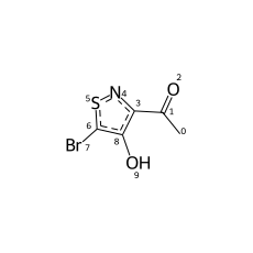 CC(=O)c1nsc(Br)c1O